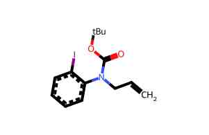 C=CCN(C(=O)OC(C)(C)C)c1ccccc1I